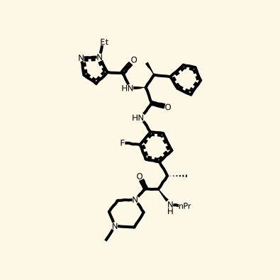 CCCN[C@@H](C(=O)N1CCN(C)CC1)[C@@H](C)c1ccc(NC(=O)[C@@H](NC(=O)c2ccnn2CC)[C@@H](C)c2ccccc2)c(F)c1